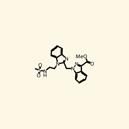 COC(=O)c1nn(Cc2nc3ccccc3n2CCNS(C)(=O)=O)c2ccccc12